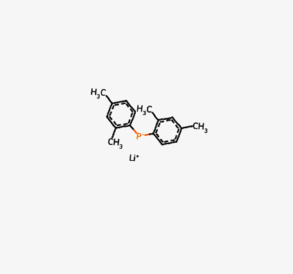 Cc1ccc([P-]c2ccc(C)cc2C)c(C)c1.[Li+]